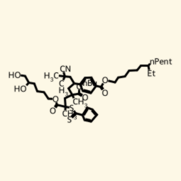 CCCCCC(CC)CCCCCCOC(=O)c1ccc(C(CC(C)(C)C#N)CC(C)(CC(C)(SC(=S)c2ccccc2)C(=O)OCCCCC(O)CO)C(=O)OCCCC)cc1